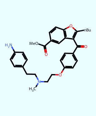 CCCCc1oc2ccc(C(=O)OC)cc2c1C(=O)c1ccc(OCCN(C)CCc2ccc(N)cc2)cc1